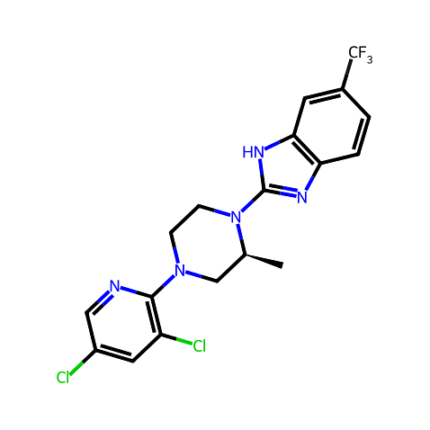 C[C@H]1CN(c2ncc(Cl)cc2Cl)CCN1c1nc2ccc(C(F)(F)F)cc2[nH]1